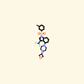 Cc1cccc(S(=O)(=O)n2cc(C(F)F)c3c(N4CCN(C5COC5)CC4)cccc32)c1